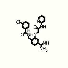 N=C(N)c1ccc(CNC(=O)c2cccc(Cl)c2)c(NCC(=O)Nc2ccccn2)c1